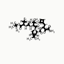 CC(C)(C)OC(=O)C(NC(=O)N[C@H](C(=O)N1C[C@H]2[C@@H]([C@H]1C(=O)NC(CC1CCC1)C(=O)C(N)=O)C2(C)C)C(C)(C)C)C(F)(F)F